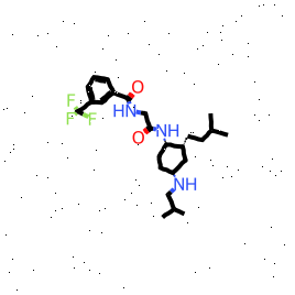 CC(C)CC[C@@H]1C[C@H](NCC(C)C)CC[C@@H]1NC(=O)CNC(=O)c1cccc(C(F)(F)F)c1